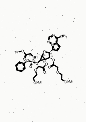 COCCOCC(=O)O[C@H]1[C@H](c2ccc3c(N)ncnn23)O[C@]2(C)C(O[P@@](=O)(N[C@@H](C)C(=O)OC(C)C)Oc3ccccc3)[C@]12OC(=O)COCCOC